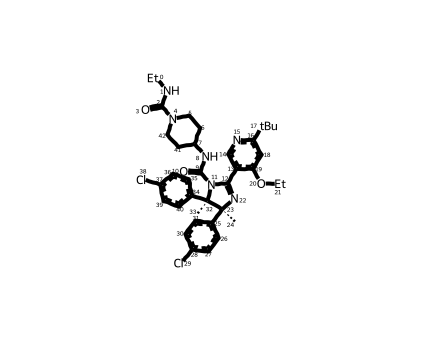 CCNC(=O)N1CCC(NC(=O)N2C(c3cnc(C(C)(C)C)cc3OCC)=N[C@@](C)(c3ccc(Cl)cc3)[C@@]2(C)c2ccc(Cl)cc2)CC1